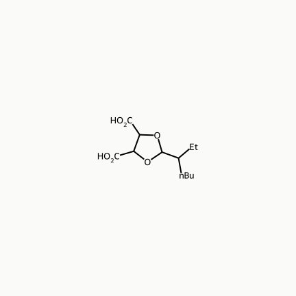 CCCCC(CC)C1OC(C(=O)O)C(C(=O)O)O1